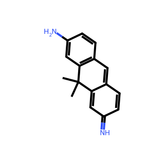 CC1(C)C2=CC(=N)C=CC2=Cc2ccc(N)cc21